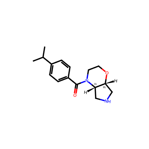 CC(C)c1ccc(C(=O)N2CCO[C@@H]3CNC[C@@H]32)cc1